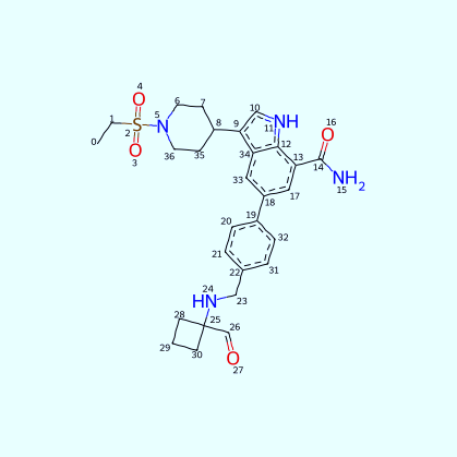 CCS(=O)(=O)N1CCC(c2c[nH]c3c(C(N)=O)cc(-c4ccc(CNC5(C=O)CCC5)cc4)cc23)CC1